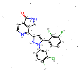 O=C1NCc2c1ccnc2-c1cc(-c2cccc(F)c2F)n(-c2ccc(F)c(Cl)c2)n1